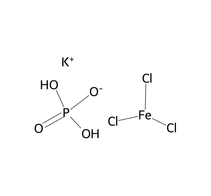 O=P([O-])(O)O.[Cl][Fe]([Cl])[Cl].[K+]